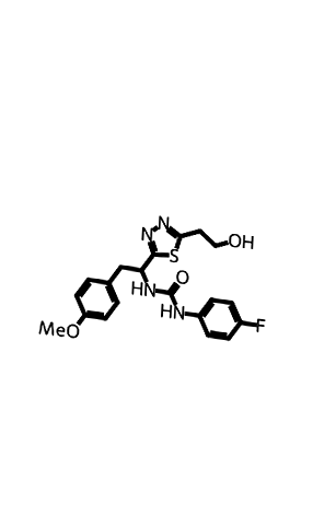 COc1ccc(CC(NC(=O)Nc2ccc(F)cc2)c2nnc(CCO)s2)cc1